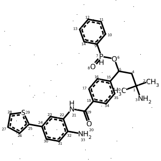 CC(C)(N)CC(O[PH](=O)c1ccccc1)c1ccc(C(=O)Nc2cc(-c3cccs3)ccc2N)cc1